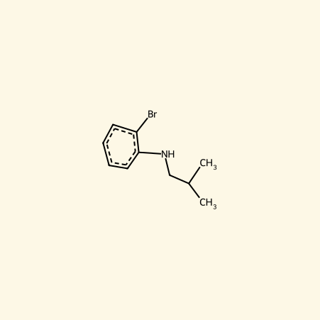 CC(C)CNc1ccccc1Br